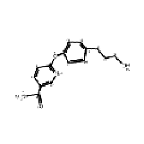 NC(=O)c1ccc(Oc2ccc(CCCO)cc2)nc1